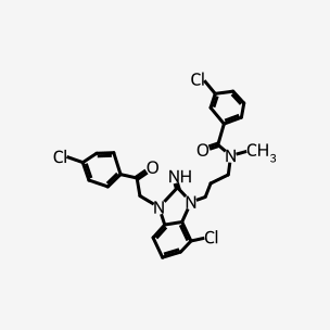 CN(CCCn1c(=N)n(CC(=O)c2ccc(Cl)cc2)c2cccc(Cl)c21)C(=O)c1cccc(Cl)c1